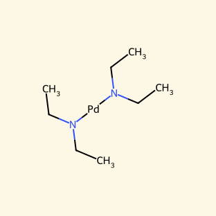 CC[N](CC)[Pd][N](CC)CC